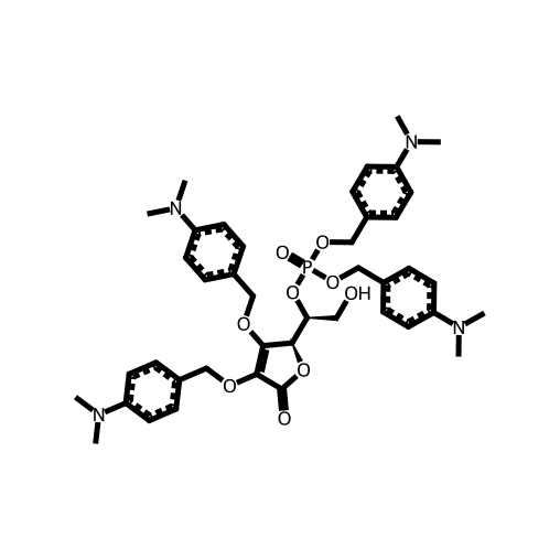 CN(C)c1ccc(COC2=C(OCc3ccc(N(C)C)cc3)[C@@H]([C@H](CO)OP(=O)(OCc3ccc(N(C)C)cc3)OCc3ccc(N(C)C)cc3)OC2=O)cc1